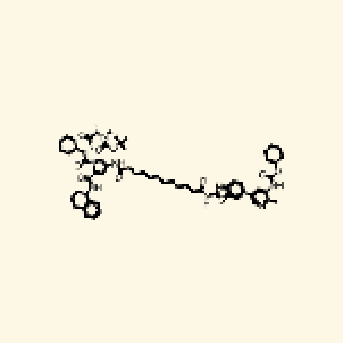 Cc1ncc(-c2ccc3nc(NC(=O)CCCCCCCCCCC(=O)N[C@H]4C[C@@H](C(=O)N[C@@H]5CCCc6ccccc65)N(C(=O)[C@@H](NC(=O)[C@H](C)N(C)C(=O)OC(C)(C)C)C5CCCCC5)C4)sc3c2)cc1NC(=O)OC1CCCCC1